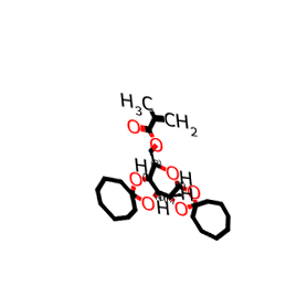 C=C(C)C(=O)OC[C@H]1O[C@@H]2OC3(CCCCCCC3)O[C@@H]2[C@H]2OC3(CCCCCCC3)O[C@H]21